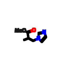 COC(=O)C(C)Cn1ccnc1